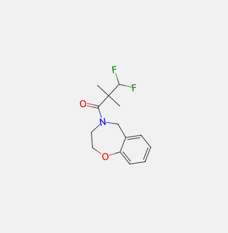 CC(C)(C(=O)N1CCOc2ccccc2C1)C(F)F